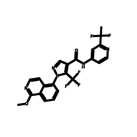 COc1nccc2c(-n3ncc(C(=O)Nc4ccnc(C(C)(F)F)c4)c3C(F)(F)F)cccc12